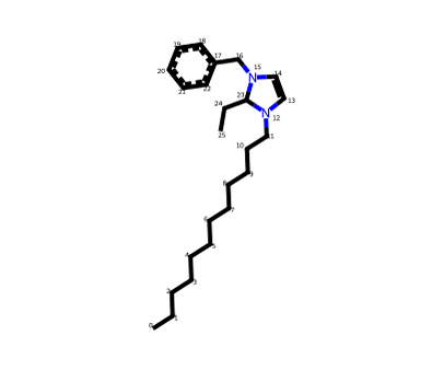 CCCCCCCCCCCCN1C=CN(Cc2ccccc2)C1CC